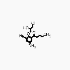 CCCCC(=O)c1cc(N)cc(C#N)c1OCC(O)CCl